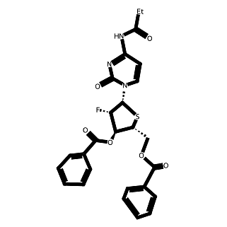 CCC(=O)Nc1ccn([C@@H]2S[C@H](COC(=O)c3ccccc3)[C@@H](OC(=O)c3ccccc3)[C@@H]2F)c(=O)n1